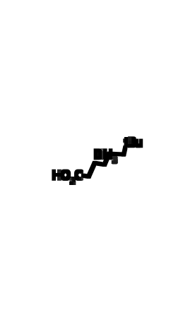 CC(C)(C)CCCCCC(=O)O.[BiH3]